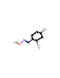 ClO/N=C/c1ccc(Cl)cc1Cl